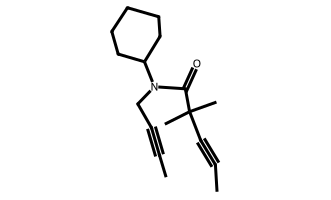 CC#CCN(C(=O)C(C)(C)C#CC)C1CCCCC1